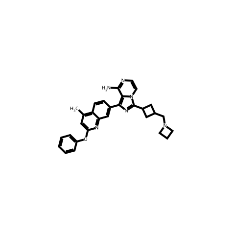 Cc1cc(Oc2ccccc2)nc2cc(-c3nc(C4CC(CN5CCC5)C4)n4ccnc(N)c34)ccc12